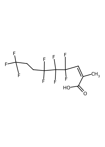 CC(=CC(F)(F)C(F)(F)C(F)(F)CCC(F)(F)F)C(=O)O